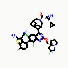 N#Cc1c(N)sc2c(F)ccc(-c3c(Cl)cc4c(C5C6CN(C(=O)[C@@H]7N[C@@H]7C7CC7)CC7CC5(C7)C6)nc(OC[C@@]56CCCN5C[C@H](F)C6)nc4c3F)c12